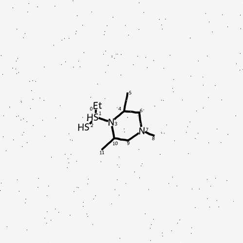 CC[SH](S)N1C(C)CN(C)CC1C